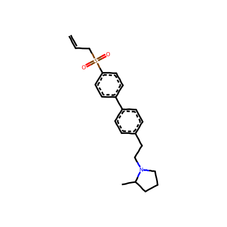 C=CCS(=O)(=O)c1ccc(-c2ccc(CCN3CCCC3C)cc2)cc1